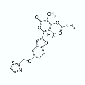 CC(=O)Oc1c(C)c(-c2cc3cc(OCc4nccs4)ccc3o2)oc(=O)c1C